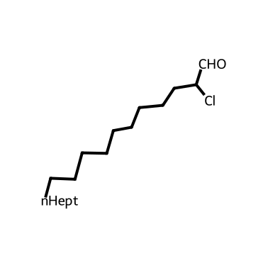 CCCCCCCCCCCCCCCCC(Cl)C=O